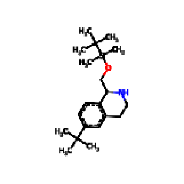 CC(C)(C)c1ccc2c(c1)CCNC2CO[Si](C)(C)C(C)(C)C